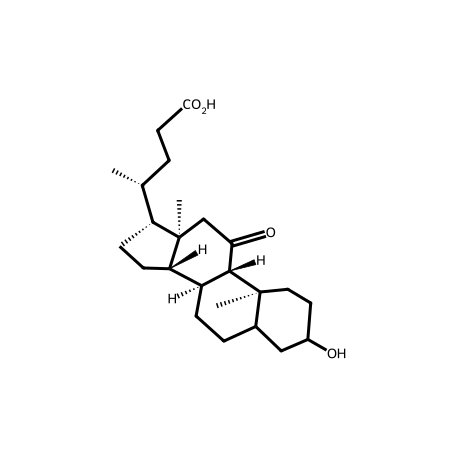 C[C@H](CCC(=O)O)[C@H]1CC[C@H]2[C@@H]3CCC4CC(O)CC[C@]4(C)[C@H]3C(=O)C[C@]12C